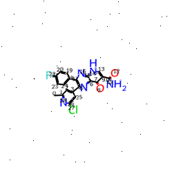 Cc1cc(-c2nc3c(=O)c(C(N)=O)c[nH]c3nc2-c2ccc(F)cc2)cc(Cl)n1